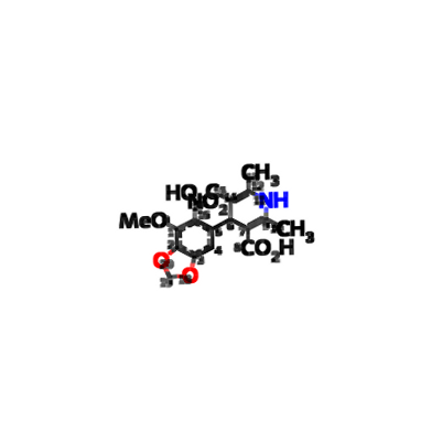 COc1c2c(cc(C3C(C(=O)O)=C(C)NC(C)=C3C(=O)O)c1[N+](=O)[O-])OCO2